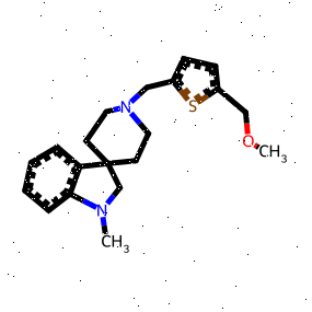 COCc1ccc(CN2CCC3(CC2)CN(C)c2ccccc23)s1